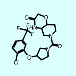 O=C1COC2CCN(C(=O)N3CCC(Oc4cc(C(F)(F)F)ccc4Cl)C3)CC2N1